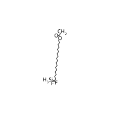 C=CC(=O)OCCCCCCCCCCCCCCCCCCC(F)(F)[SiH3]